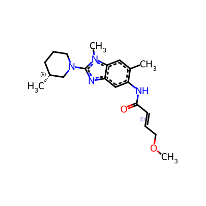 COC/C=C/C(=O)Nc1cc2nc(N3CCC[C@@H](C)C3)n(C)c2cc1C